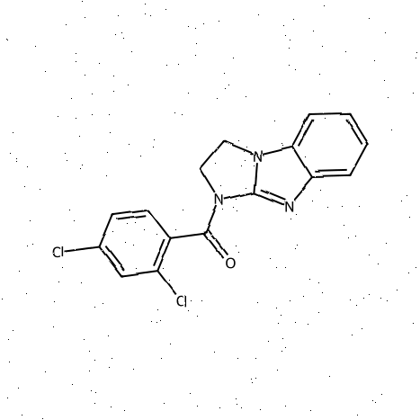 O=C(c1ccc(Cl)cc1Cl)N1CCn2c1nc1ccccc12